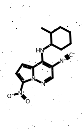 [C-]#[N+]c1cnn2c([N+](=O)[O-])ccc2c1NC1CCCCC1C